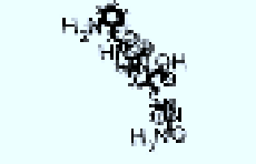 NC(=O)c1nnc(SCC2=C(C(=O)O)N3C(=O)C(NC(=O)Cc4ccccc4N)[C@H]3SC2)o1